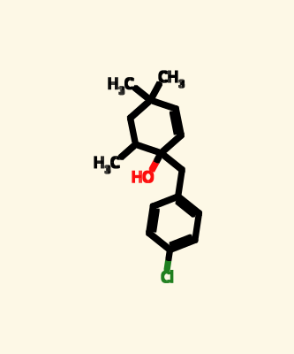 CC1CC(C)(C)C=CC1(O)Cc1ccc(Cl)cc1